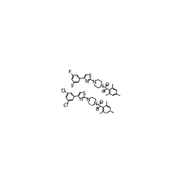 Cc1cc(C)c(S(=O)(=O)N2CCN(c3nc(-c4cc(Cl)cc(Cl)c4)cs3)CC2)c(C)c1.Cc1cc(C)c(S(=O)(=O)N2CCN(c3nc(-c4cc(F)cc(F)c4)cs3)CC2)c(C)c1